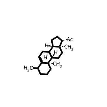 CC(=O)[C@H]1CC[C@H]2[C@@H]3CC=C4C(C)CCC[C@]4(C)[C@H]3CC[C@]12C